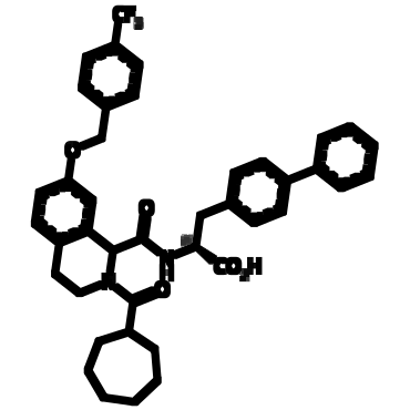 O=C(N[C@@H](Cc1ccc(-c2ccccc2)cc1)C(=O)O)C1c2cc(OCc3ccc(C(F)(F)F)cc3)ccc2CCN1C(=O)C1CCCCCC1